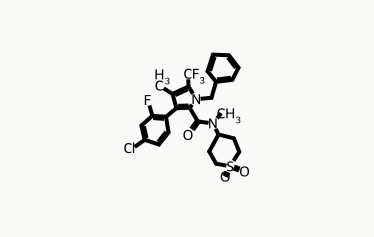 Cc1c(-c2ccc(Cl)cc2F)c(C(=O)N(C)C2CCS(=O)(=O)CC2)n(Cc2ccccc2)c1C(F)(F)F